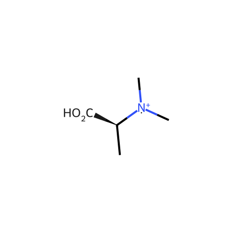 C[C@@H](C(=O)O)[N+](C)C